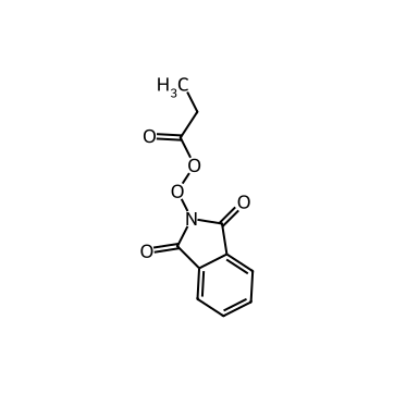 CCC(=O)OON1C(=O)c2ccccc2C1=O